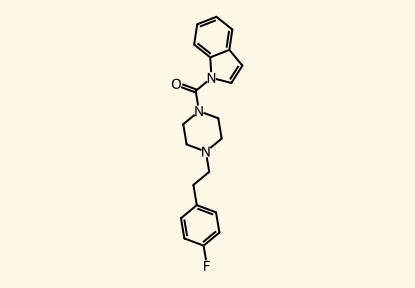 O=C(N1CCN(CCc2ccc(F)cc2)CC1)n1ccc2ccccc21